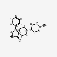 CC(C)[C@H]1CC[C@H](N2CCC3(CC2)C(=O)NCN3c2ccccc2)CC1